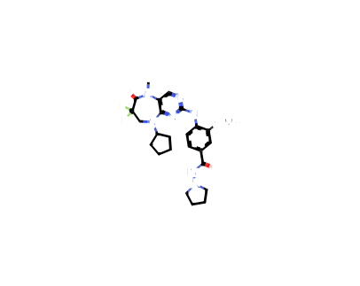 COc1cc(C(=O)NN2CCCC2)ccc1Nc1ncc2c(n1)N(C1CCCC1)CC(F)(F)C(=O)N2C